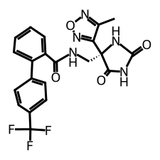 Cc1nonc1[C@@]1(CNC(=O)c2ccccc2-c2ccc(C(F)(F)F)cc2)NC(=O)NC1=O